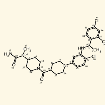 C[C@@H](Nc1cc(N2CCC(C(=O)N3CCC(N(C)C(N)=O)CC3)CC2)ccc1Cl)c1ccc(Cl)cc1Cl